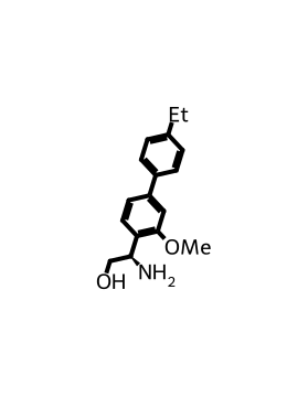 CCc1ccc(-c2ccc([C@@H](N)CO)c(OC)c2)cc1